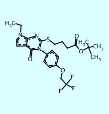 CCn1ccc2c(=O)n(-c3ccc(OCC(F)(F)F)cc3)c(SCCCC(=O)OC(C)(C)C)nc21